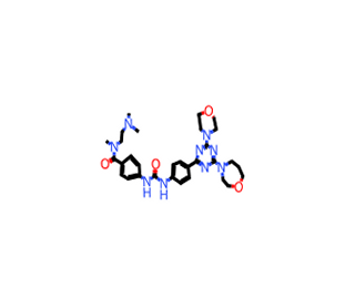 CN(C)CCN(C)C(=O)c1ccc(NC(=O)Nc2ccc(-c3nc(N4CCCOCC4)nc(N4CCOCC4)n3)cc2)cc1